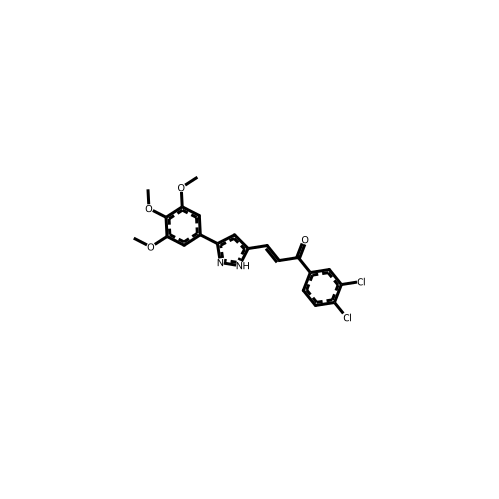 COc1cc(-c2cc(/C=C/C(=O)c3ccc(Cl)c(Cl)c3)[nH]n2)cc(OC)c1OC